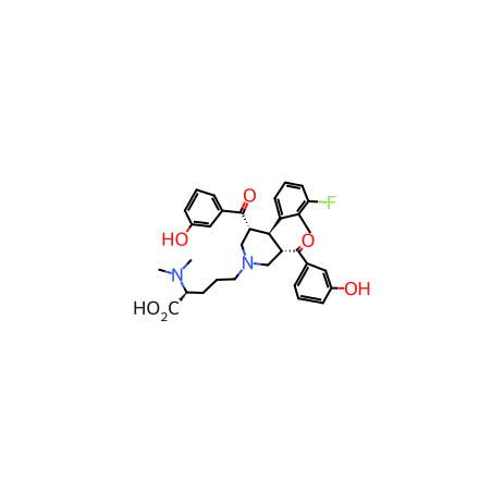 Cc1c(F)cccc1[C@@H]1[C@@H](C(=O)c2cccc(O)c2)CN(CCC[C@@H](C(=O)O)N(C)C)C[C@H]1C(=O)c1cccc(O)c1